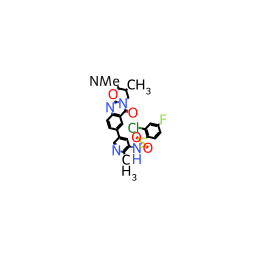 CNC(=O)C(C)Cn1cnc2ccc(-c3cnc(C)c(NS(=O)(=O)c4ccc(F)cc4Cl)c3)cc2c1=O